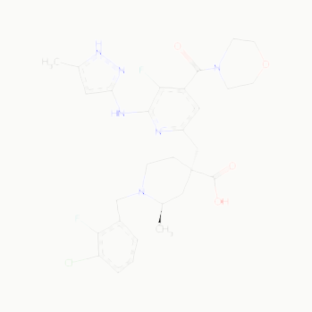 Cc1cc(Nc2nc(C[C@@]3(C(=O)O)CCN(Cc4cccc(Cl)c4F)[C@H](C)C3)cc(C(=O)N3CCOCC3)c2F)n[nH]1